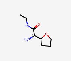 CCNC(=O)[C@H](N)C1CCCO1